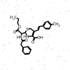 CCCOC(=O)C(NC(=O)Cc1ccccc1)C1NC(C(=O)O)=C(/C=C/c2ccc(C)cc2)CS1